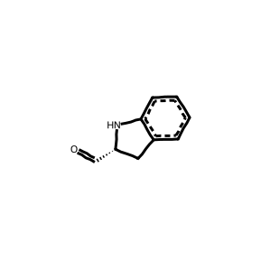 O=C[C@H]1Cc2ccccc2N1